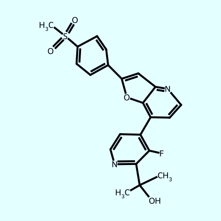 CC(C)(O)c1nccc(-c2ccnc3cc(-c4ccc(S(C)(=O)=O)cc4)oc23)c1F